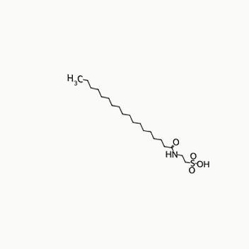 CCCCCCCCCCCCCCCCCC(=O)NCCS(=O)(=O)O